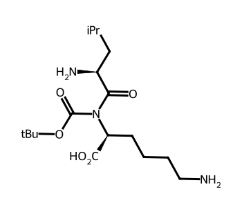 CC(C)C[C@H](N)C(=O)N(C(=O)OC(C)(C)C)[C@@H](CCCCN)C(=O)O